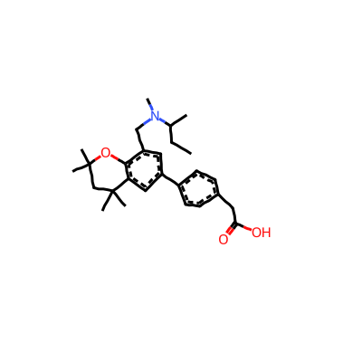 CCC(C)N(C)Cc1cc(-c2ccc(CC(=O)O)cc2)cc2c1OC(C)(C)CC2(C)C